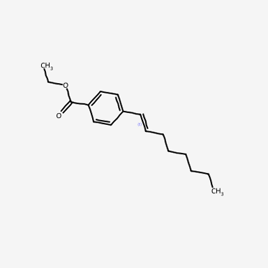 CCCCCC/C=C/c1ccc(C(=O)OCC)cc1